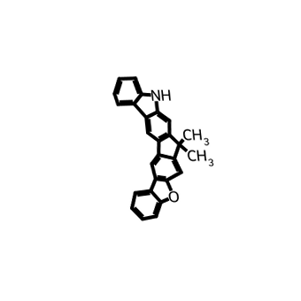 CC1(C)c2cc3[nH]c4ccccc4c3cc2-c2cc3c(cc21)oc1ccccc13